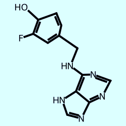 Oc1ccc(CNc2ncnc3nc[nH]c23)cc1F